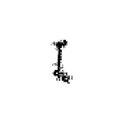 O=C(COc1cccc2c1C(=O)N(C1CCC(=O)NC1=O)C2=O)NCCOCCOCC(=O)NC1(c2ccccn2)CNC1